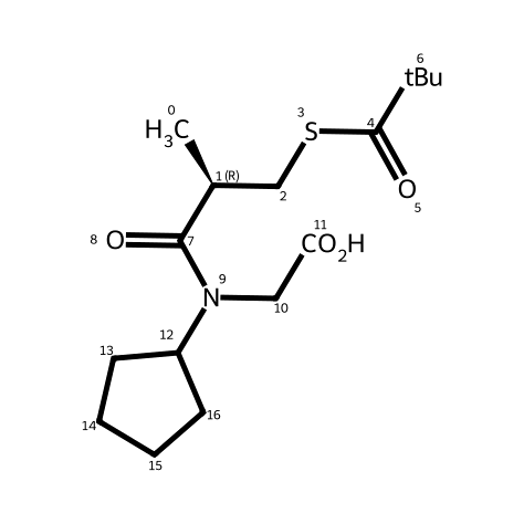 C[C@@H](CSC(=O)C(C)(C)C)C(=O)N(CC(=O)O)C1CCCC1